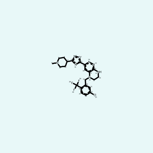 CN1CCC(c2noc(-c3cc4c(nn3)NCCN4Cc3cc(Cl)ccc3C(F)(F)F)n2)CC1